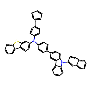 c1ccc(-c2ccc(N(c3ccc(-c4ccc5c(c4)c4ccccc4n5-c4ccc5ccccc5c4)cc3)c3ccc4c(c3)sc3ccccc34)cc2)cc1